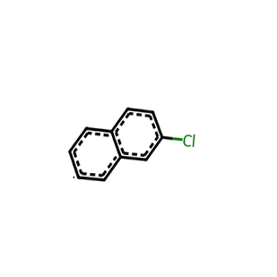 Clc1ccc2cc[c]cc2c1